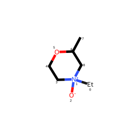 CC[N+]1([O-])CCOC(C)C1